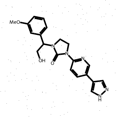 COc1cccc(C(CO)N2CCN(c3ccc(-c4cn[nH]c4)cn3)C2=O)c1